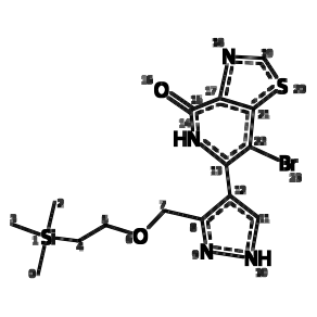 C[Si](C)(C)CCOCc1n[nH]cc1-c1[nH]c(=O)c2ncsc2c1Br